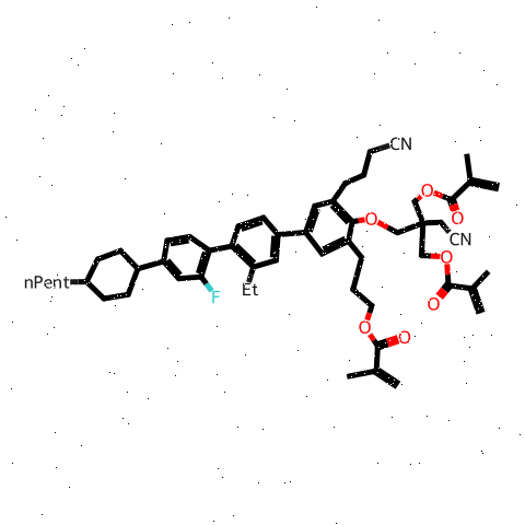 C=C(C)C(=O)OCCCc1cc(-c2ccc(-c3ccc(C4CCC(CCCCC)CC4)cc3F)c(CC)c2)cc(CCCC#N)c1OCC(CC#N)(COC(=O)C(=C)C)COC(=O)C(=C)C